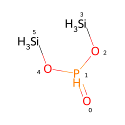 O=[PH](O[SiH3])O[SiH3]